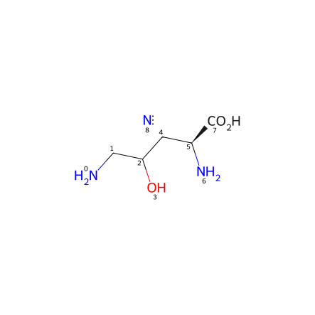 NCC(O)C[C@H](N)C(=O)O.[N]